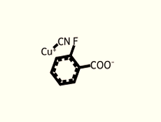 N#[C][Cu+].O=C([O-])c1ccccc1F